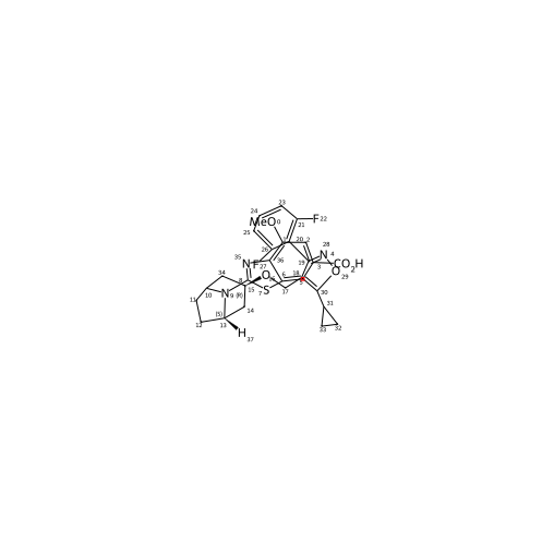 COc1cc(C(=O)O)cc2sc(N3C4CC[C@H]3C[C@H](OCc3c(-c5c(F)cccc5F)noc3C3CC3)C4)nc12